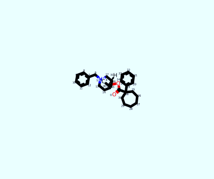 O=C(O[C@H]1C[N+]2(Cc3ccccc3)CCC1CC2)C1(c2ccccc2)CCCCCC1